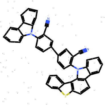 N#Cc1cc(-c2ccc(-n3c4ccccc4c4ccc5sc6ccccc6c5c43)c(C#N)c2)ccc1-n1c2ccccc2c2ccccc21